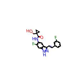 O=C(Nc1cc2c(/C=C/c3cccc(F)c3)n[nH]c2cc1F)C1(CO)CC1